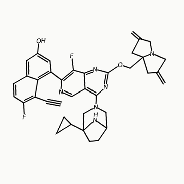 C#Cc1c(F)ccc2cc(O)cc(-c3ncc4c(N5CC6CCC(C7CC7)(C5)N6)nc(OCC56CC(=C)CN5CC(=C)C6)nc4c3F)c12